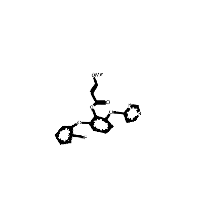 COC=CC(=O)Oc1c(Oc2ccncn2)cccc1Oc1ccccc1F